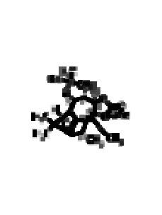 CC(=O)OC1C(C)=C[C@@]23C(=O)C([C@H]4C(C[C@H]2C)C4(C)C)[C@H](O[Si](C)(C)C(C)(C)C)[C@H](C)[C@H]2OC(=O)O[C@]123